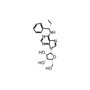 CC[C@H](Nc1ncnc2c1ncn2[C@@H]1O[C@H](CO)[C@H](O)[C@@H]1O)c1ccccc1